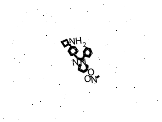 CN(C)C(=O)Oc1ccc2nc(-c3ccc(C4(N)CCC4)cc3)c(-c3ccccc3)n2c1